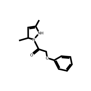 CC1=CC(C)N(C(=O)COc2ccccc2)N1